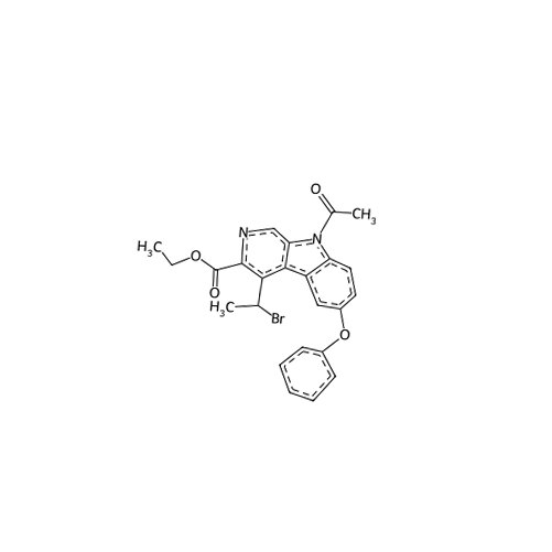 CCOC(=O)c1ncc2c(c1C(C)Br)c1cc(Oc3ccccc3)ccc1n2C(C)=O